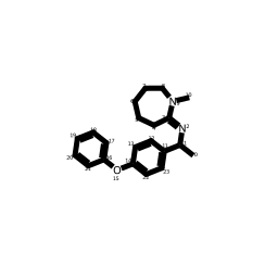 CC(N=C1CCCCCN1C)c1ccc(Oc2ccccc2)cc1